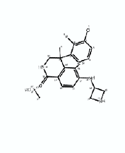 CC1(c2cccc(Cl)c2F)CNC(=O)c2ccc(NC3CNC3)c(F)c21.CS(=O)(=O)O